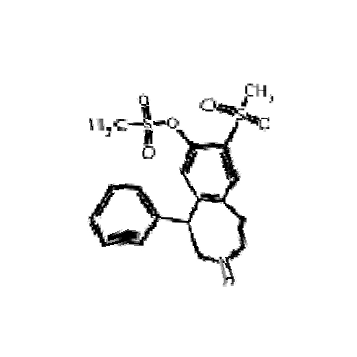 CS(=O)(=O)Oc1cc2c(cc1S(C)(=O)=O)CCNCC2c1ccccc1